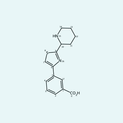 O=C(O)c1cccc(-c2csc(C3CCCCN3)n2)c1